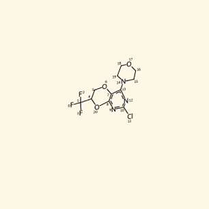 FC(F)(F)C1COc2c(nc(Cl)nc2N2CCOCC2)O1